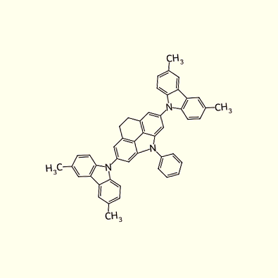 Cc1ccc2c(c1)c1cc(C)ccc1n2-c1cc2c3c4c(cc(-n5c6ccc(C)cc6c6cc(C)ccc65)cc4n(-c4ccccc4)c3c1)CC2